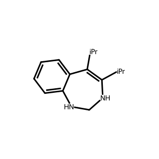 CC(C)C1=C(C(C)C)c2ccccc2NCN1